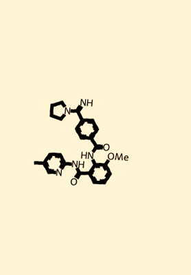 COc1cccc(C(=O)Nc2ccc(C)cn2)c1NC(=O)c1ccc(C(=N)N2CCCC2)cc1